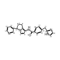 O=C(Nc1ccn2c1CSC2c1cccnc1)c1ccc(Cc2ncc[nH]2)cc1